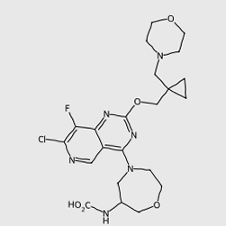 O=C(O)NC1COCCN(c2nc(OCC3(CN4CCOCC4)CC3)nc3c(F)c(Cl)ncc23)C1